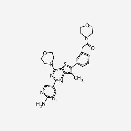 Cc1c(-c2cccc(CC(=O)N3CCOCC3)c2)sc2c(N3CCOCC3)nc(-c3cnc(N)nc3)nc12